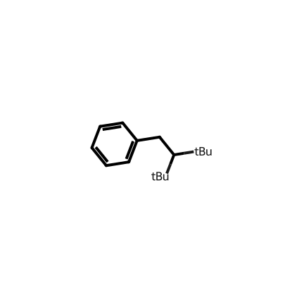 CC(C)(C)C(Cc1ccccc1)C(C)(C)C